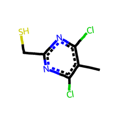 Cc1c(Cl)nc(CS)nc1Cl